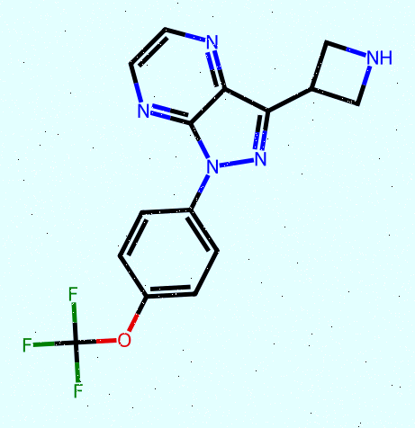 FC(F)(F)Oc1ccc(-n2nc(C3CNC3)c3nccnc32)cc1